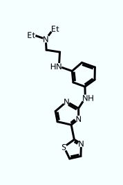 CCN(CC)CCNc1cccc(Nc2nccc(-c3nccs3)n2)c1